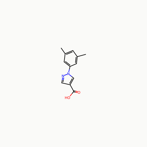 Cc1cc(C)cc(-n2cc(C(=O)O)cn2)c1